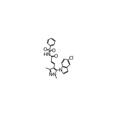 Cc1nn(C)c(-n2ccc3cc(Cl)ccc32)c1/C=C/C(=O)NS(=O)(=O)c1ccccc1